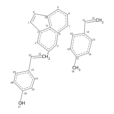 C1=Cc2cccc3cccc1c23.C=Cc1ccc(C)cc1.C=Cc1ccc(O)cc1